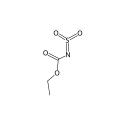 CCOC(=O)N=S(=O)=O